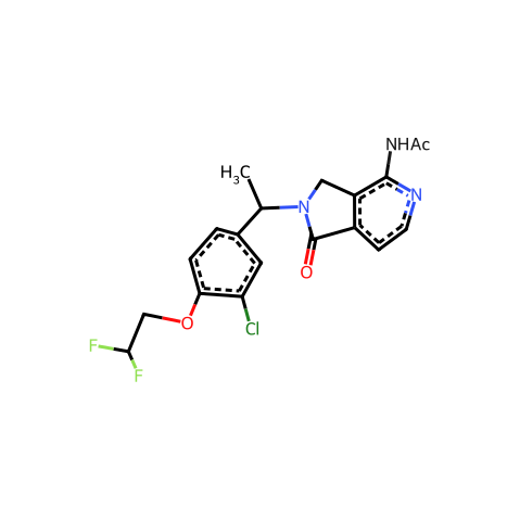 CC(=O)Nc1nccc2c1CN(C(C)c1ccc(OCC(F)F)c(Cl)c1)C2=O